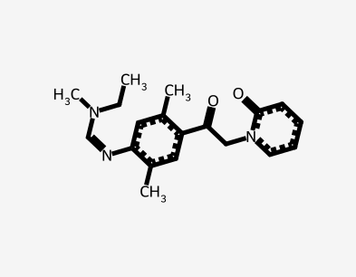 CCN(C)/C=N\c1cc(C)c(C(=O)Cn2ccccc2=O)cc1C